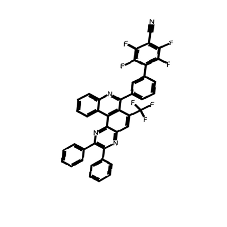 N#Cc1c(F)c(F)c(-c2cccc(-c3nc4ccccc4c4c3c(C(F)(F)F)cc3nc(-c5ccccc5)c(-c5ccccc5)nc34)c2)c(F)c1F